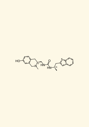 C[C@H](Cc1cc2ccccc2s1)NC(=O)NC[C@@H]1Cc2ccc(O)cc2CN1C